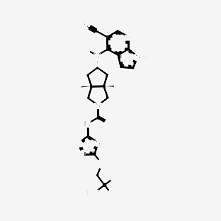 CN(c1c(C#N)cnc2[nH]ccc12)[C@@H]1C[C@@H]2CN(C(=O)Nc3nc(OCC(C)(C)O)ns3)C[C@@H]2C1